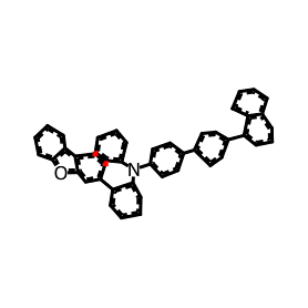 c1ccc(N(c2ccc(-c3ccc(-c4cccc5ccccc45)cc3)cc2)c2ccccc2-c2ccc3c(c2)oc2ccccc23)cc1